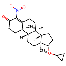 C[C@]12CC[C@H]3[C@@H](CCC4=C([N+](=O)[O-])C(=O)CC[C@@]43C)[C@@H]1CC[C@@H]2OC1CC1